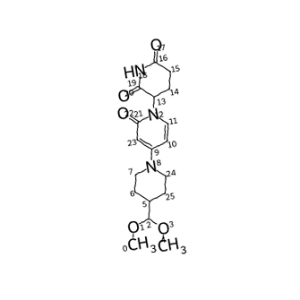 COC(OC)C1CCN(c2ccn(C3CCC(=O)NC3=O)c(=O)c2)CC1